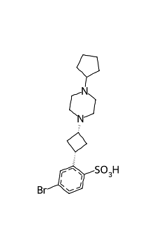 O=S(=O)(O)c1ccc(Br)cc1[C@H]1C[C@@H](N2CCN(C3CCCC3)CC2)C1